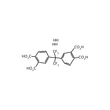 O=C(O)c1ccc(C(c2ccc(C(=O)O)c(C(=O)O)c2)(C(F)(F)F)C(F)(F)F)cc1C(=O)O.[HH].[HH]